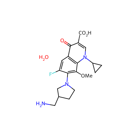 COc1c(N2CCC(CN)C2)c(F)cc2c(=O)c(C(=O)O)cn(C3CC3)c12.O